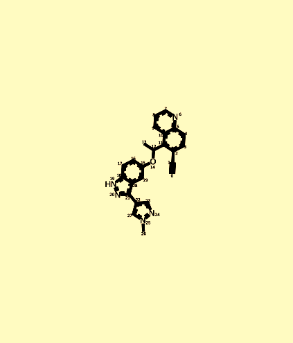 C#Cc1ccc2ncccc2c1C(C)Oc1ccc2[nH]nc(-c3cnn(C)c3)c2c1